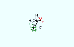 CC1(C)C(C=C(Cl)C(F)(F)C(F)(F)F)C1C(=O)[O-].[K+]